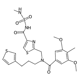 CNS(=O)(=O)NC(=O)c1csc(CN(CCCc2ccsc2)C(=O)c2cc(OC)c(C)c(OC)c2)n1